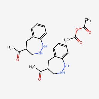 CC(=O)C1CNNc2ccccc2C1.CC(=O)C1CNNc2ccccc2C1.CC(=O)OC(C)=O